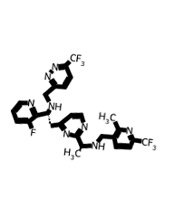 Cc1nc(C(F)(F)F)ccc1CN[C@H](C)c1nccc(C[C@@H](NCc2ccc(C(F)(F)F)nn2)c2ncccc2F)n1